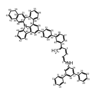 C=C(/C=C\C=C/Nc1cc(-c2ccccc2)cc(-c2ccccc2)c1)c1cccc(-c2ccc(-c3cc4c5c(c3)c3ccccc3n5-c3cc5c(cc3-c3ccccc3-4)CCC=C5)cc2)c1